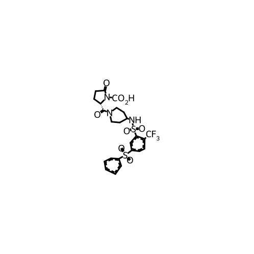 O=C([C@@H]1CCC(=O)N1C(=O)O)N1CCC(NS(=O)(=O)c2cc(S(=O)(=O)c3ccccc3)ccc2C(F)(F)F)CC1